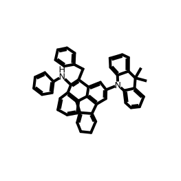 CC1(C)c2ccccc2N(c2cc3c(c(/C(Cc4ccccc4)=C(/Nc4ccccc4)c4ccccc4)c2)CC2=CCCC=C23)c2ccccc21